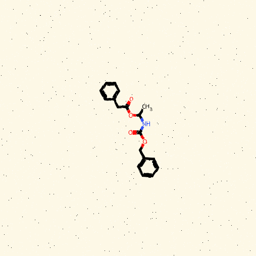 CC(NC(=O)OCc1ccccc1)OC(=O)Cc1ccccc1